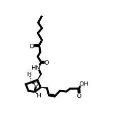 CCCCCC(=O)CCC(=O)NC[C@H]1[C@@H](C/C=C\CCCC(=O)O)[C@H]2CC[C@@H]1O2